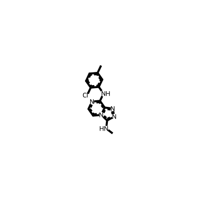 CNc1nnc2c(Nc3cc(C)ccc3Cl)nccn12